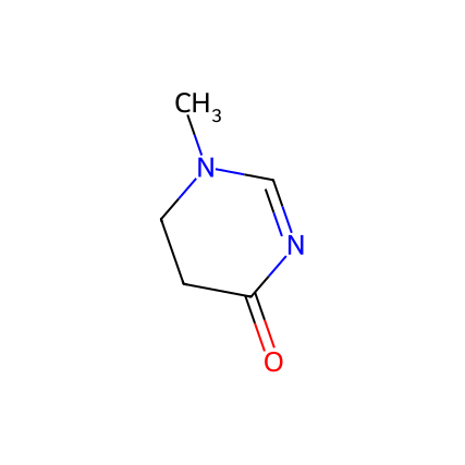 CN1C=NC(=O)CC1